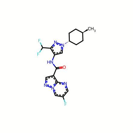 C[C@H]1CC[C@H](n2cc(NC(=O)c3cnn4cc(F)cnc34)c(C(F)F)n2)CC1